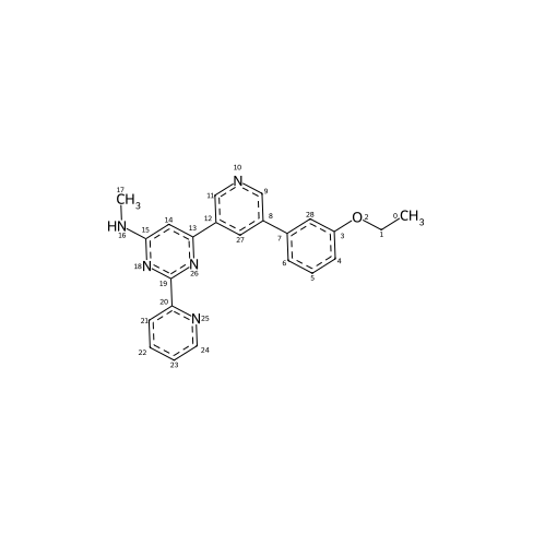 CCOc1cccc(-c2cncc(-c3cc(NC)nc(-c4ccccn4)n3)c2)c1